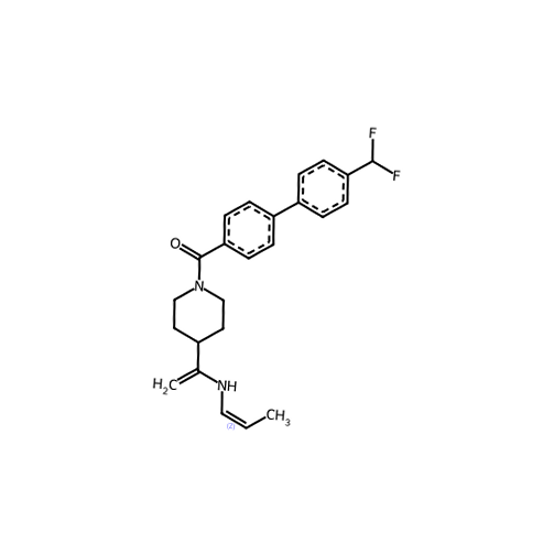 C=C(N/C=C\C)C1CCN(C(=O)c2ccc(-c3ccc(C(F)F)cc3)cc2)CC1